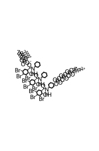 O=C(Nc1ccccc1)c1cc(Br)c(Br)c(Br)c1O.O=C(Nc1ccccc1)c1cc(Br)c(Br)c(Br)c1O.O=C(Nc1ccccc1)c1cc(Br)c(Br)c(Br)c1O.O=P([O-])([O-])[O-].O=P([O-])([O-])[O-].O=P([O-])([O-])[O-].O=P([O-])([O-])[O-].[Zn+2].[Zn+2].[Zn+2].[Zn+2].[Zn+2].[Zn+2]